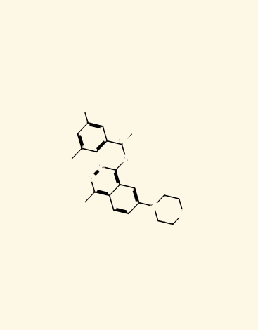 Cc1cc(F)cc([C@@H](C)Nc2nnc(C)c3ccc(N4CCOCC4)cc23)c1